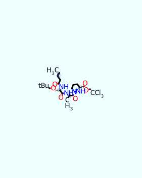 C/C=C/CC(=O)N[C@@H](COCC(C)(C)C)C(=O)N[C@@H](C)C(=O)N1CCC[C@@H](C(=O)OCC(Cl)(Cl)Cl)N1